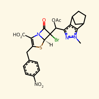 CC(=O)OC(c1nn(C)c2c1C1CCC2C1)C1(Br)C(=O)N2C(C(=O)O)=C(Cc3ccc([N+](=O)[O-])cc3)S[C@@H]21